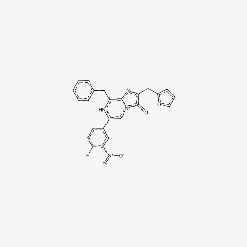 O=c1c(Cc2ccco2)nc2c(Cc3ccccc3)[nH]c(-c3ccc(F)c([N+](=O)[O-])c3)cn1-2